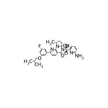 CC(C)COc1cc(F)cc(-c2ccc3c(n2)N2C(C)CCC2(C)N(S(=O)(=O)c2cccc(N)n2)C3=O)c1